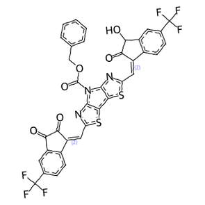 O=C1C(=O)c2cc(C(F)(F)F)ccc2/C1=C/c1nc2c(s1)c1sc(/C=C3\C(=O)C(O)c4cc(C(F)(F)F)ccc43)nc1n2C(=O)OCc1ccccc1